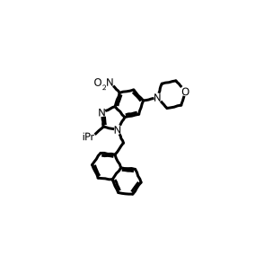 CC(C)c1nc2c([N+](=O)[O-])cc(N3CCOCC3)cc2n1Cc1cccc2ccccc12